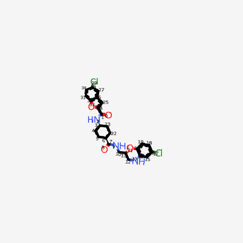 O=C(N[C@H]1CC[C@H](C(=O)NCC2CNc3cc(Cl)ccc3O2)CC1)c1cc2cc(Cl)ccc2o1